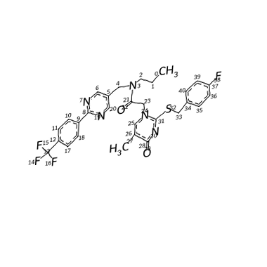 CCCN(Cc1cnc(-c2ccc(C(F)(F)F)cc2)nc1)C(=O)Cn1cc(C)c(=O)nc1SCc1ccc(F)cc1